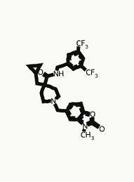 Cn1c(=O)oc2ccc(CN3CCC(CC4CC4)(C(=O)NCc4cc(C(F)(F)F)cc(C(F)(F)F)c4)CC3)cc21